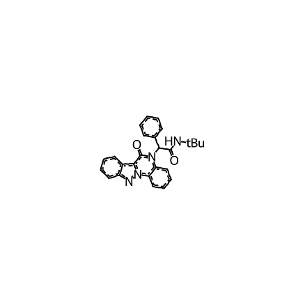 CC(C)(C)NC(=O)C(c1ccccc1)n1c(=O)c2c3ccccc3nn2c2ccccc21